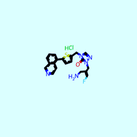 Cl.NC/C(=C\F)Cn1ncn(Cc2ccc(-c3cccc4cnccc34)s2)c1=O